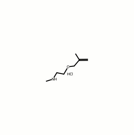 C=C(C)COCCNC.Cl